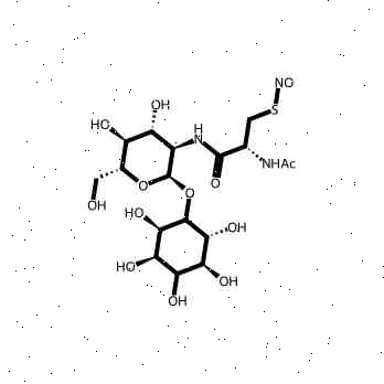 CC(=O)N[C@@H](CSN=O)C(=O)N[C@H]1[C@@H](OC2[C@H](O)[C@H](O)C(O)[C@H](O)[C@H]2O)O[C@H](CO)[C@@H](O)[C@@H]1O